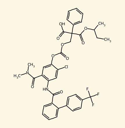 CCC(C)OC(=O)C(COC(=O)Oc1cc(C(=O)N(C)C)c(NC(=O)c2ccccc2-c2ccc(C(F)(F)F)cc2)cc1Cl)(C(=O)O)c1ccccc1